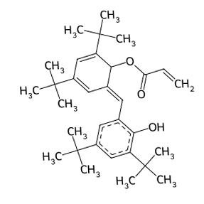 C=CC(=O)OC1C(=Cc2cc(C(C)(C)C)cc(C(C)(C)C)c2O)C=C(C(C)(C)C)C=C1C(C)(C)C